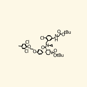 Cc1cc(Cl)c(OCCOc2ccc([C@H]3CCN(C(=O)OC(C)(C)C)C[C@@H]3C(=O)N(Cc3cc(CNCC(=O)OC(C)(C)C)ccc3Cl)C3CC3)cc2)c(Cl)c1